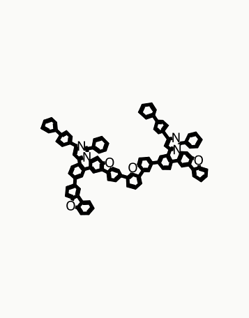 c1ccc(-c2ccc(-c3cc(-c4ccc(-c5ccc6oc7ccccc7c6c5)cc4-c4ccc5oc6cc(-c7cccc8c7oc7ccc(-c9ccc(-c%10ccc%11oc%12ccccc%12c%11c%10)c(-c%10cc(-c%11ccc(-c%12ccccc%12)cc%11)nc(-c%11ccccc%11)n%10)c9)cc78)ccc6c5c4)nc(-c4ccccc4)n3)cc2)cc1